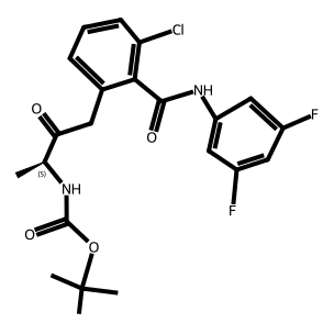 C[C@H](NC(=O)OC(C)(C)C)C(=O)Cc1cccc(Cl)c1C(=O)Nc1cc(F)cc(F)c1